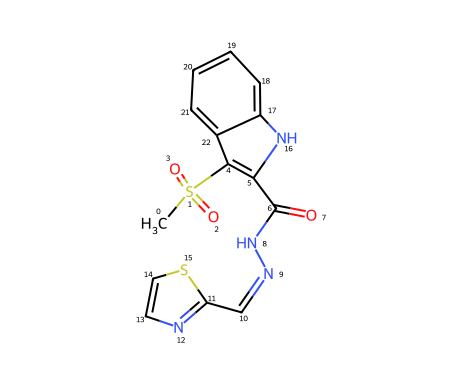 CS(=O)(=O)c1c(C(=O)N/N=C\c2nccs2)[nH]c2ccccc12